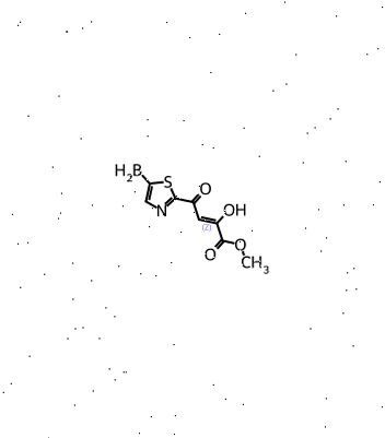 Bc1cnc(C(=O)/C=C(\O)C(=O)OC)s1